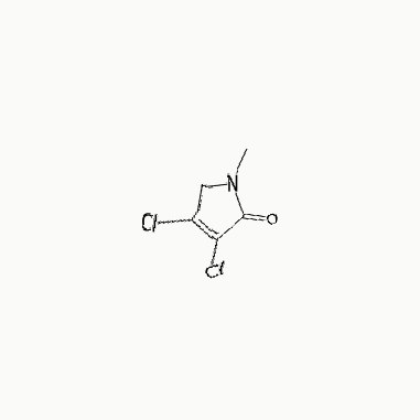 CN1CC(Cl)=C(Cl)C1=O